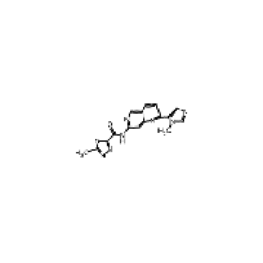 Cc1nnc(C(=O)Nc2cc3nc(-c4cncn4C)ccc3cn2)o1